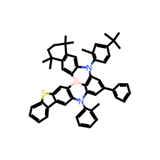 Cc1cc(C(C)(C)C)ccc1N1c2cc3c(cc2B2c4cc5sc6ccccc6c5cc4N(c4ccccc4C)c4cc(-c5ccccc5)cc1c42)C(C)(C)CCC3(C)C